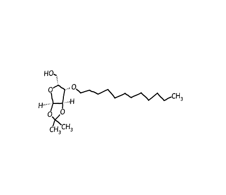 CCCCCCCCCCCCO[C@@H]1[C@H]2OC(C)(C)O[C@H]2O[C@@H]1CO